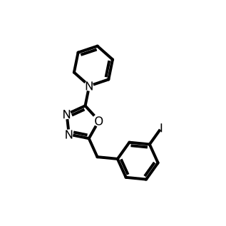 Ic1cccc(Cc2nnc(N3C=CC=CC3)o2)c1